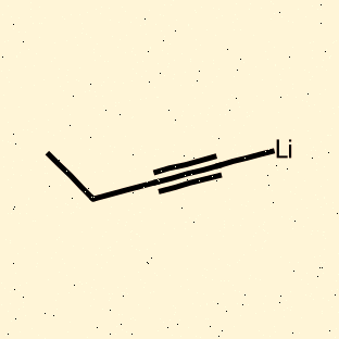 [Li][C]#CCC